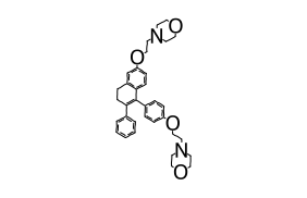 c1ccc(C2=C(c3ccc(OCCN4CCOCC4)cc3)c3ccc(OCCN4CCOCC4)cc3CC2)cc1